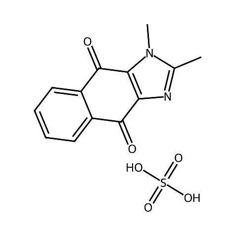 Cc1nc2c(n1C)C(=O)c1ccccc1C2=O.O=S(=O)(O)O